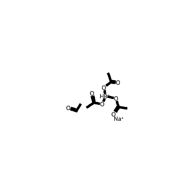 CC(=O)O[BH-](OC(C)=O)OC(C)=O.CC=O.[Na+]